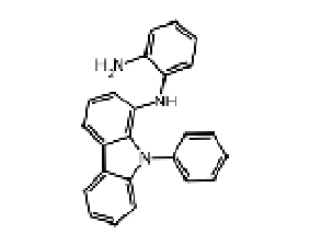 Nc1ccccc1Nc1cccc2c3ccccc3n(-c3ccccc3)c12